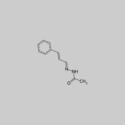 CC(=O)N/N=C/C=C/c1ccccc1